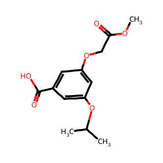 COC(=O)COc1cc(OC(C)C)cc(C(=O)O)c1